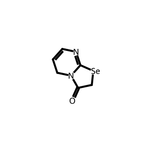 O=C1C[Se]C2=NC=CCN12